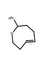 CCCC1CC/C=C/CCO1